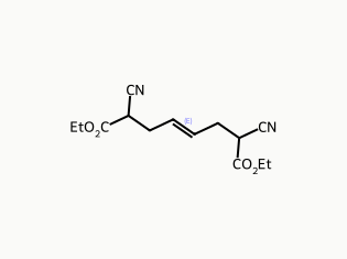 CCOC(=O)C(C#N)C/C=C/CC(C#N)C(=O)OCC